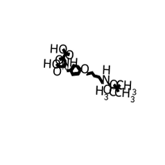 CC(C)(C)OC(=O)NCCCCCOc1ccc(C[C@@H](NC(=O)C(=O)O)C(=O)O)cc1